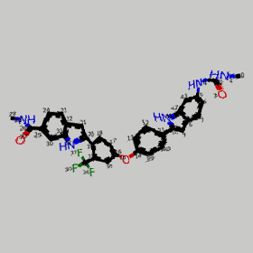 CNC(=O)Nc1ccc2cc(-c3ccc(Oc4ccc(-c5cc6ccc(C(=O)NC)cc6[nH]5)c(C(F)(F)F)c4)cc3)[nH]c2c1